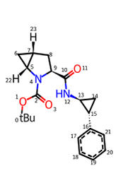 CC(C)(C)OC(=O)N1[C@@H]2C[C@@H]2C[C@H]1C(=O)N[C@H]1C[C@@H]1c1ccccc1